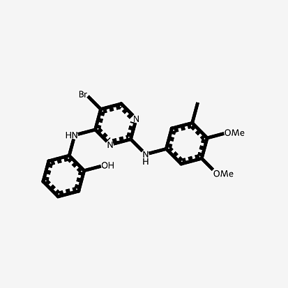 COc1cc(Nc2ncc(Br)c(Nc3ccccc3O)n2)cc(C)c1OC